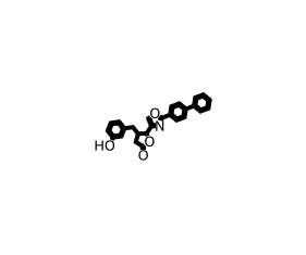 O=C1CC(Cc2cccc(O)c2)C(c2coc(-c3ccc(-c4ccccc4)cc3)n2)O1